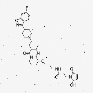 Cc1nc2n(c(=O)c1CCN1CCC(c3noc4cc(F)ccc34)CC1)CCCC2OCCCNC(=O)CCN1C(=O)C=CC1O